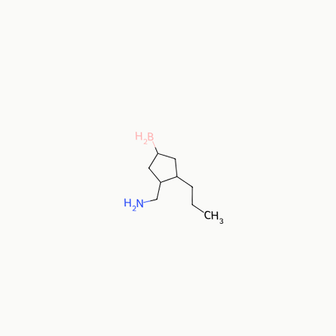 BC1CC(CN)C(CCC)C1